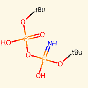 CC(C)(C)OP(=N)(O)OP(=O)(O)OC(C)(C)C